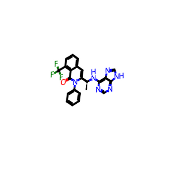 C[C@H](Nc1ncnc2[nH]cnc12)c1cc2cccc(C(F)(F)F)c2c(=O)n1-c1ccccc1